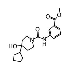 COC(=O)c1cccc(NC(=O)N2CCC(O)(C3CCCC3)CC2)c1